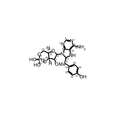 COC1C(N2c3ncnc(N)c3NC2Sc2ccc(O)cc2)O[C@@H]2CO[PH](O)(O)O[C@@H]12